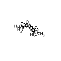 C=C1OCc2c(cc3n(c2=O)Cc2cc4c5c(c(F)cc4nc2-3)N(C(C)C)CCO5)[C@@]1(O)CC